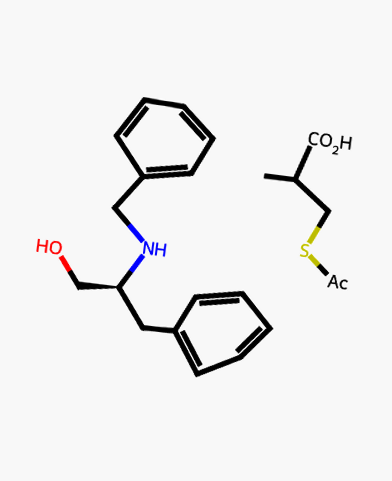 CC(=O)SCC(C)C(=O)O.OC[C@H](Cc1ccccc1)NCc1ccccc1